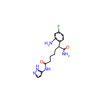 NC(=O)C(CCCCC(=O)Nc1ccn[nH]1)c1ccc(F)cc1N